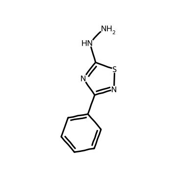 NNc1nc(-c2ccccc2)ns1